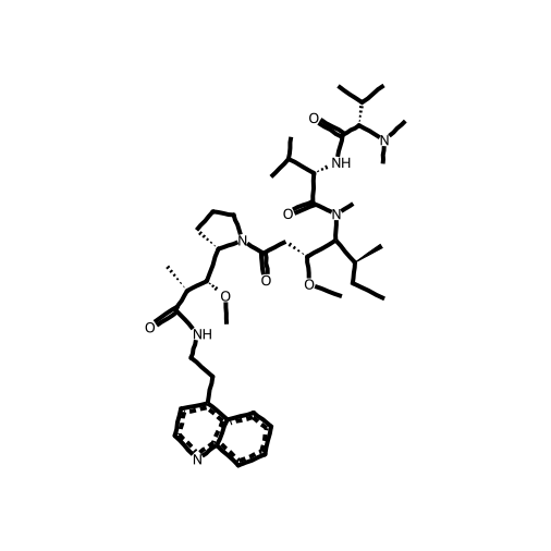 CC[C@H](C)C([C@@H](CC(=O)N1CCC[C@H]1[C@H](OC)[C@@H](C)C(=O)NCCc1ccnc2ccccc12)OC)N(C)C(=O)[C@@H](NC(=O)[C@H](C(C)C)N(C)C)C(C)C